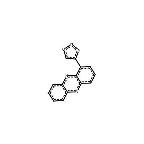 c1ccc2nc3c(-c4conn4)cccc3nc2c1